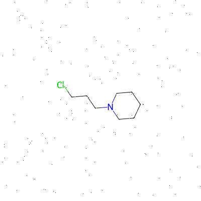 ClCCCN1CC[CH]CC1